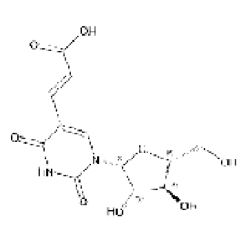 O=C(O)C=Cc1cn([C@@H]2O[C@H](CO)[C@@H](O)[C@@H]2O)c(=O)[nH]c1=O